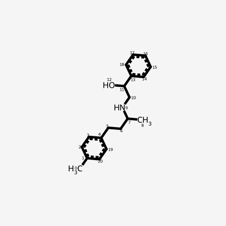 Cc1ccc(CCC(C)NCC(O)c2ccccc2)cc1